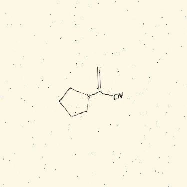 C=C(C#N)N1CCCC1